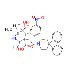 CC1N[C@H](C)C(C)(C(=O)O)C(c2cccc([N+](=O)[O-])c2)C1(CCN1CCC(c2ccccc2)(c2ccccc2)CC1)C(=O)O